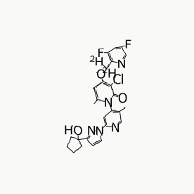 [2H]C([2H])(Oc1cc(C)n(-c2cc(-n3ccc(C4(O)CCCC4)n3)ncc2C)c(=O)c1Cl)c1ncc(F)cc1F